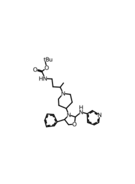 CC(CCNC(=O)OC(C)(C)C)N1CCC(N2C(Nc3cccnc3)OCC2c2ccccc2)CC1